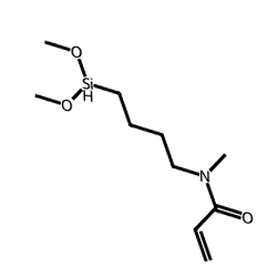 C=CC(=O)N(C)CCCC[SiH](OC)OC